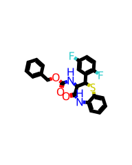 O=C(NC1C(=O)Nc2ccccc2SC1c1cc(F)ccc1F)OCc1ccccc1